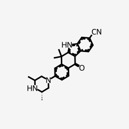 CC1CN(c2ccc3c(c2)C(C)(C)c2[nH]c4cc(C#N)ccc4c2C3=O)C[C@H](C)N1